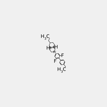 CCCC1CC[C@@H]2C[C@H](c3cc(F)c(-c4ccc(CC)cc4)c(F)c3)CC[C@@H]2C1